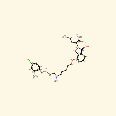 CCN(CCCCCOc1cccc2c1CN(C(CCC=O)C(=O)NC)C2=O)CCOCc1ccc(F)cc1C